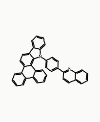 c1ccc2nc(-c3ccc(-n4c5ccccc5c5ccc6c7ccccc7c7ccccc7c6c54)cc3)ccc2c1